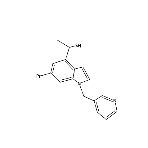 CC(C)c1cc(C(C)S)c2ccn(Cc3cccnc3)c2c1